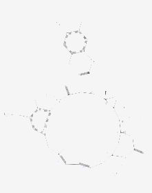 COc1cc2cc(c1Cl)N(C)C(=O)C[C@H](OC(=O)Nc1cc(F)c([N+](=O)[O-])cc1Cl)[C@]1(C)O[C@H]1[C@H](C)[C@@H]1C[C@@](O)(NC(=O)O1)[C@H](OC)/C=C/C=C(\C)C2